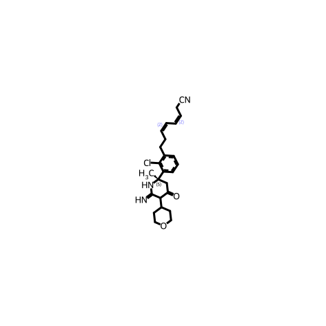 C[C@@]1(c2cccc(CC/C=C\C=C/CC#N)c2Cl)CC(=O)C(C2CCOCC2)C(=N)N1